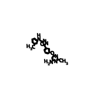 Cc1cccc(Nc2nnc(-c3cccc(Oc4cc(N)nc(C)n4)c3)o2)c1